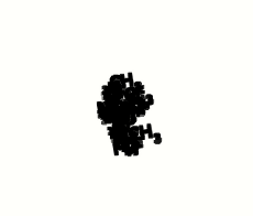 Cc1cccc(F)c1N1CC[C@@H](n2c(=O)n(Cc3ccccc3C(F)(F)F)c3c(N4CCN(C)CC4)nccc32)C1